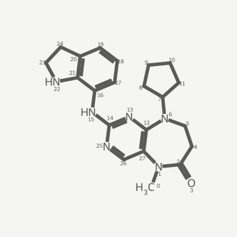 CN1C(=O)CCN(C2CCCC2)c2nc(Nc3cccc4c3NCC4)ncc21